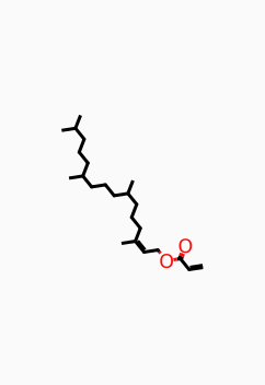 C=CC(=O)OCC=C(C)CCCC(C)CCCC(C)CCCC(C)C